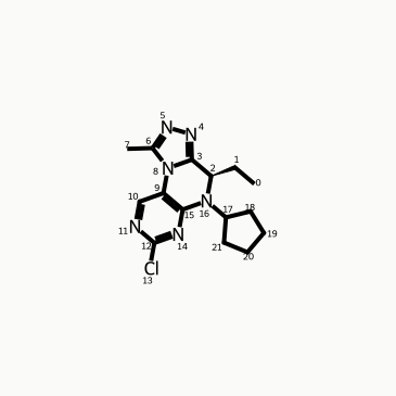 CC[C@@H]1c2nnc(C)n2-c2cnc(Cl)nc2N1C1CCCC1